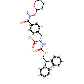 CN(OC1CCCCO1)C(=O)c1ccc(C[C@H](NC(=O)OCC2c3ccccc3-c3ccccc32)C(=O)O)cc1